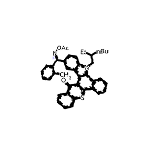 CCCCC(CC)Cn1c2ccc(/C(=N\OC(C)=O)c3ccccc3C)cc2c2c3c(=O)c4ccccc4sc3c3ccccc3c21